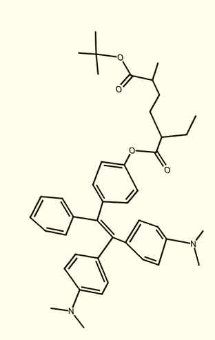 CCC(CCC(C)C(=O)OC(C)(C)C)C(=O)Oc1ccc(C(=C(c2ccc(N(C)C)cc2)c2ccc(N(C)C)cc2)c2ccccc2)cc1